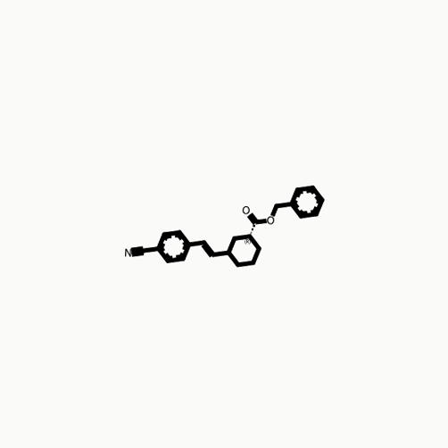 N#Cc1ccc(C=CC2CCC[C@@H](C(=O)OCc3ccccc3)C2)cc1